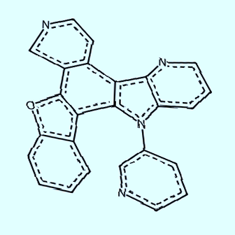 c1cncc(-n2c3cccnc3c3c4ccncc4c4oc5ccccc5c4c32)c1